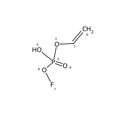 C=COP(=O)(O)OF